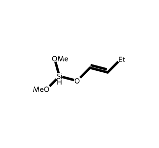 CCC=CO[SiH](OC)OC